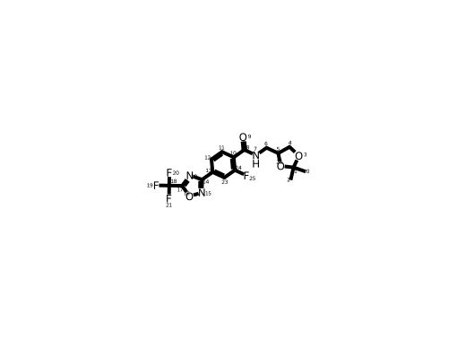 CC1(C)OCC(CNC(=O)c2ccc(-c3noc(C(F)(F)F)n3)cc2F)O1